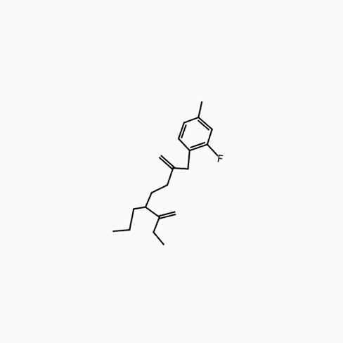 C=C(CCC(CCC)C(=C)CC)Cc1ccc(C)cc1F